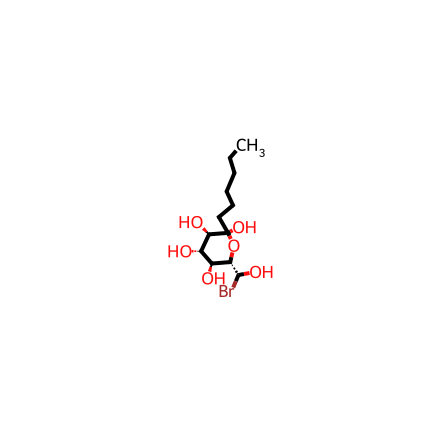 CCCCCCC1(O)O[C@H](C(O)Br)[C@@H](O)[C@H](O)[C@H]1O